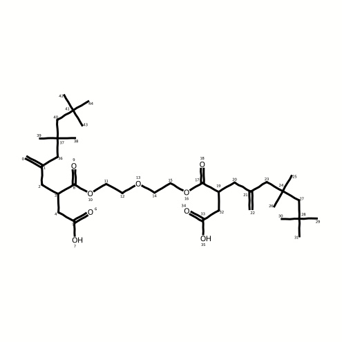 C=C(CC(CC(=O)O)C(=O)OCCOCCOC(=O)C(CC(=C)CC(C)(C)CC(C)(C)C)CC(=O)O)CC(C)(C)CC(C)(C)C